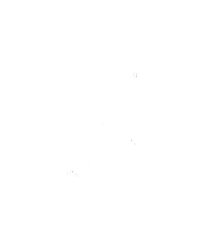 CCN(CC)c1ccc2nc3ccc(=N)cc-3oc2c1